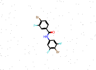 O=C(Nc1cc(F)c(Br)c(F)c1)c1ccc(Br)c(F)c1